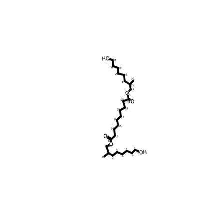 CC(CCCCCCO)COC(=O)CCCCCCCCC(=O)OCC(C)CCCCCCO